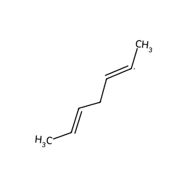 C/[C]=C/CC=CC